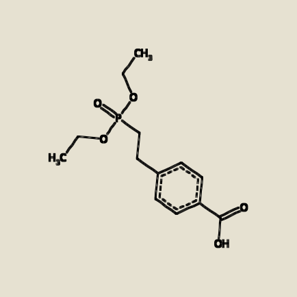 CCOP(=O)(CCc1ccc(C(=O)O)cc1)OCC